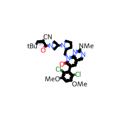 CNc1ncc2cc(-c3c(Cl)c(OC)cc(OC)c3Cl)c(=O)n(CC3CCCN3C3CN(C(=O)/C(C#N)=C\C(C)(C)C)C3)c2n1